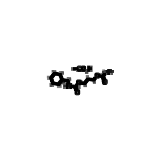 CC(=O)O.CCCC(=O)OCCCOC(=O)NCC1CCCCC1